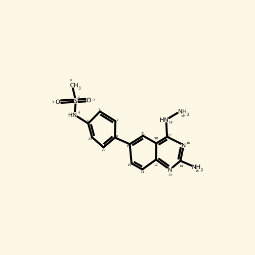 CS(=O)(=O)Nc1ccc(-c2ccc3nc(N)nc(NN)c3c2)cc1